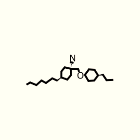 CCCCCCC[C@H]1CC[C@@](C#N)(CO[C@H]2CC[C@H](CCC)CC2)CC1